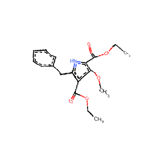 CCOC(=O)c1[nH]c(Cc2ccccc2)c(C(=O)OCC)c1OC